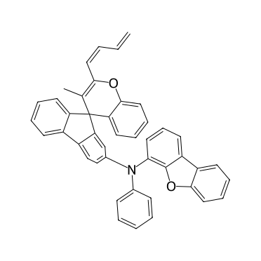 C=C/C=C\C1=C(C)C2(c3ccccc3O1)c1ccccc1-c1ccc(N(c3ccccc3)c3cccc4c3oc3ccccc34)cc12